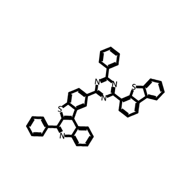 c1ccc(-c2nc(-c3ccc4sc5c(-c6ccccc6)nc6ccccc6c5c4c3)nc(-c3cccc4c3sc3ccccc34)n2)cc1